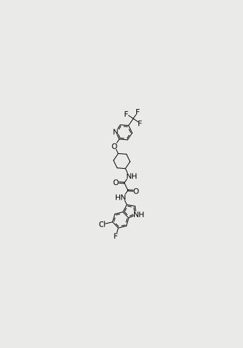 O=C(Nc1c[nH]c2cc(F)c(Cl)cc12)C(=O)NC1CCC(Oc2ccc(C(F)(F)F)cn2)CC1